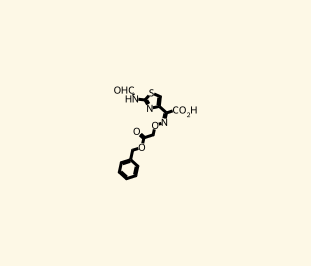 O=CNc1nc(/C(=N\OCC(=O)OCc2ccccc2)C(=O)O)cs1